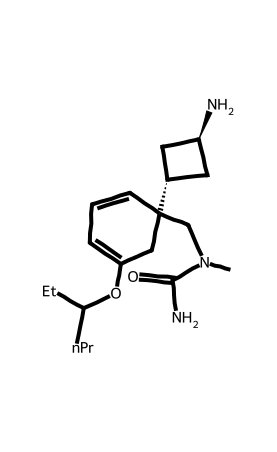 CCCC(CC)OC1=CC=CC(CN(C)C(N)=O)([C@H]2C[C@H](N)C2)C1